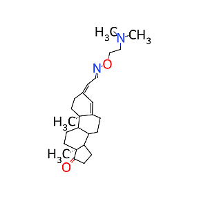 CN(C)CCON=CC=C1C=C2CCC3C(CC[C@]4(C)C(=O)CCC34)[C@@]2(C)CC1